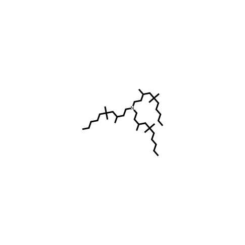 CCCCCC(C)(C)CC(C)CCN(CCC(C)CC(C)(C)CCCCC)CCC(C)CC(C)(C)CCCCC